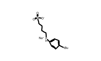 CC(C)(C)c1ccc(PCCCCS(=O)(=O)[O-])cc1.[Na+]